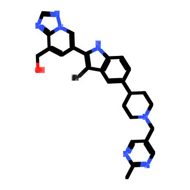 Cc1ncc(CN2CCC(c3ccc4[nH]c(-c5cc(CO)c6ncnn6c5)c(C(C)C)c4c3)CC2)cn1